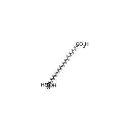 O=C(O)CCCCCCCCCCCCCCCCCCCCCCCCP(=O)(O)O